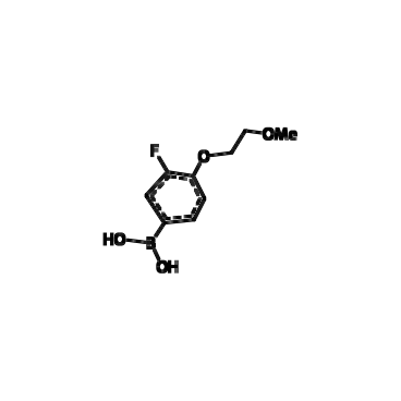 COCCOc1ccc(B(O)O)cc1F